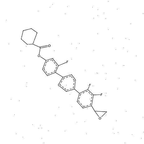 O=C(Oc1ccc(-c2ccc(-c3ccc(C4CO4)c(F)c3F)cc2)c(F)c1)C1CCCCC1